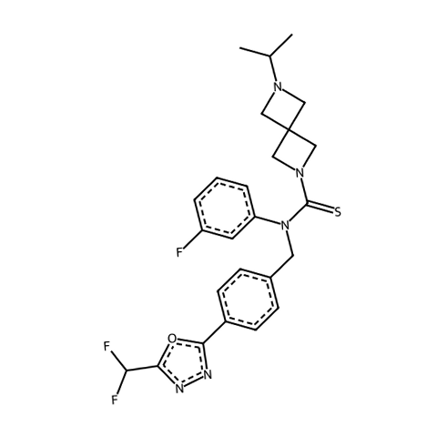 CC(C)N1CC2(CN(C(=S)N(Cc3ccc(-c4nnc(C(F)F)o4)cc3)c3cccc(F)c3)C2)C1